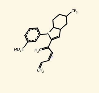 C=C/C=C\C(=C)C1=CC2CC(C(F)(F)F)CCC2N1c1cccc(C(=O)O)c1